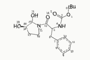 CC(C)(C)OC(=O)NC(Cc1ccccc1)C(=O)N1CC[C@@H](O)C1O